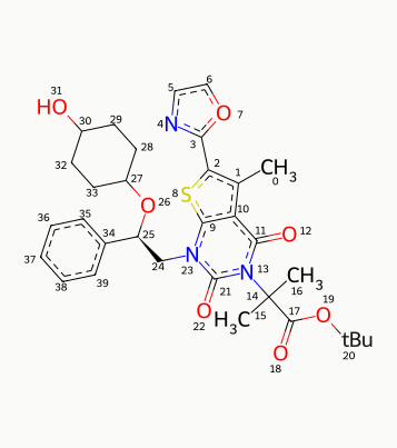 Cc1c(-c2ncco2)sc2c1c(=O)n(C(C)(C)C(=O)OC(C)(C)C)c(=O)n2C[C@H](OC1CCC(O)CC1)c1ccccc1